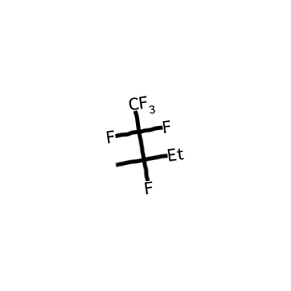 CCC(C)(F)C(F)(F)C(F)(F)F